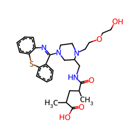 CC(CC(C)C(=O)NCC1CN(C2=Nc3ccccc3Sc3ccccc32)CCN1CCOCCO)C(=O)O